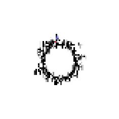 C/C=C/C[C@@H](C)[C@@H](O)C1C(=O)N[C@@H](CC)C(=O)N(C)CC(=O)N(C)[C@@H](CC(C)C)C(=O)NC(C(C)C)C(=O)N(C)[C@@H](CC(C)C)C(=O)N[C@@H](C)C(=O)N[C@H](C)C(=O)N(C)[C@@H](CC(C)C)CN(C)[C@@H](CC(C)C)C(=O)N(C)[C@@H](C(C)C)C(=O)N1C